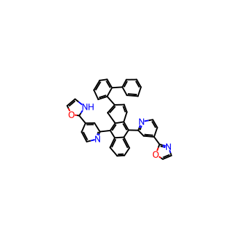 C1=COC(c2ccnc(-c3c4ccccc4c(-c4cc(-c5ncco5)ccn4)c4ccc(-c5ccccc5-c5ccccc5)cc34)c2)N1